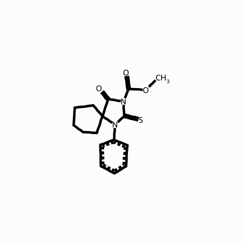 COC(=O)N1C(=O)C2(CCCCC2)N(c2ccccc2)C1=S